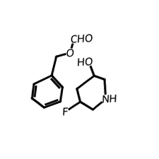 O=COCc1ccccc1.OC1CNCC(F)C1